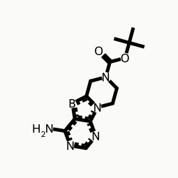 CC(C)(C)OC(=O)N1CCn2c(bc3c(N)ncnc32)C1